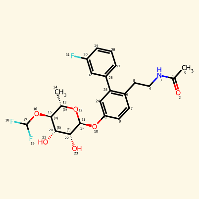 CC(=O)NCCc1ccc(O[C@@H]2O[C@@H](C)[C@H](OC(F)F)[C@@H](O)[C@H]2O)cc1-c1cccc(F)c1